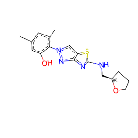 Cc1cc(C)c(-n2cc3sc(NC[C@H]4CCCO4)nc3n2)c(O)c1